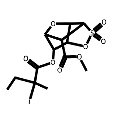 CCC(C)(I)C(=O)OC1C2OS(=O)(=O)C3C2OC1C3C(=O)OC